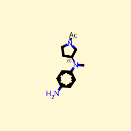 CC(=O)N1CC[C@H](N(C)c2ccc(N)cc2)C1